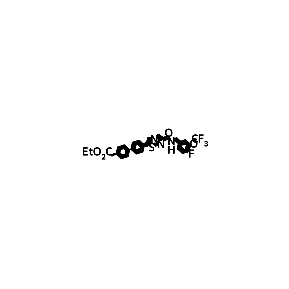 CCOC(=O)C[C@H]1CC[C@H](c2ccc(-c3cn4cc(C(=O)NCc5ccc(F)c(OC(F)(F)F)c5)nc4s3)cc2)CC1